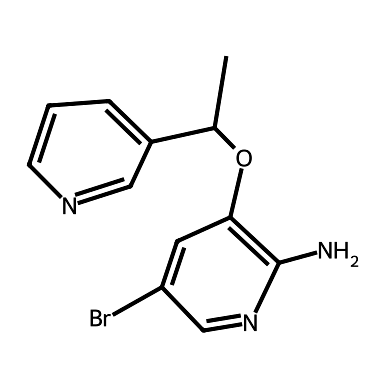 CC(Oc1cc(Br)cnc1N)c1cccnc1